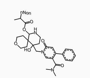 CCCCCCCCCC(C)C(=O)OC1NCCC(O)(Cn2cc(C(=O)N(C)C)c(-c3ccccc3)cc2=O)C12CCOCC2